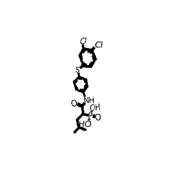 CC(C)CC(C(=O)Nc1ccc(Sc2ccc(Cl)c(Cl)c2)cc1)P(=O)(O)O